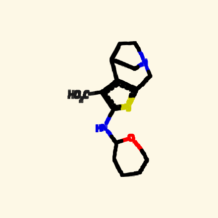 O=C(O)c1c(NC2CCCCO2)sc2c1C1CCN(C2)C1